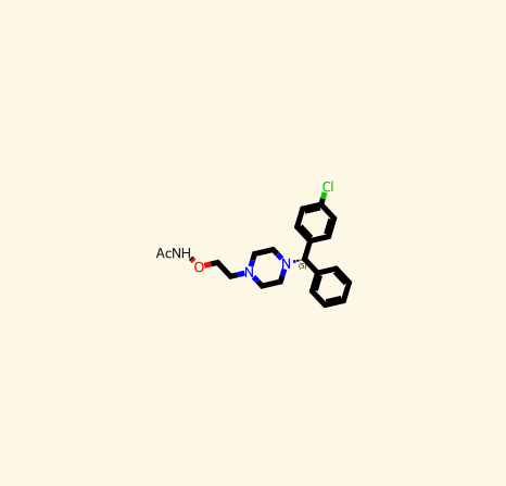 CC(=O)NOCCN1CCN([C@@H](c2ccccc2)c2ccc(Cl)cc2)CC1